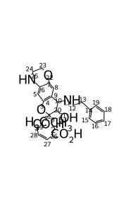 CC1(C)Oc2cc3c(cc2C(NCCc2ccccc2)C1O)OCCN3.O=C(O)/C=C\C(=O)O